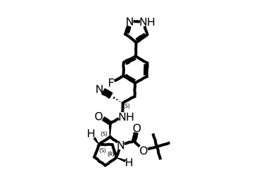 CC(C)(C)OC(=O)N1[C@@H]2CC[C@@H](C2)[C@H]1C(=O)N[C@H](C#N)Cc1ccc(-c2cn[nH]c2)cc1F